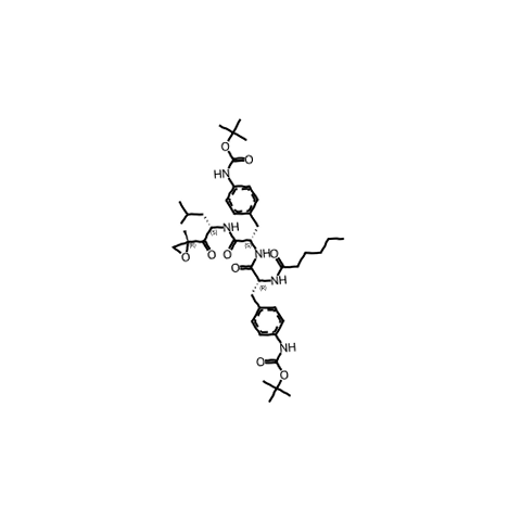 CCCCCC(=O)N[C@H](Cc1ccc(NC(=O)OC(C)(C)C)cc1)C(=O)N[C@@H](Cc1ccc(NC(=O)OC(C)(C)C)cc1)C(=O)N[C@@H](CC(C)C)C(=O)[C@@]1(C)CO1